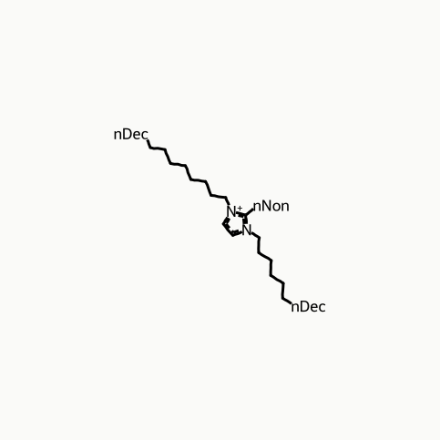 CCCCCCCCCCCCCCCCCC[n+]1ccn(CCCCCCCCCCCCCCCC)c1CCCCCCCCC